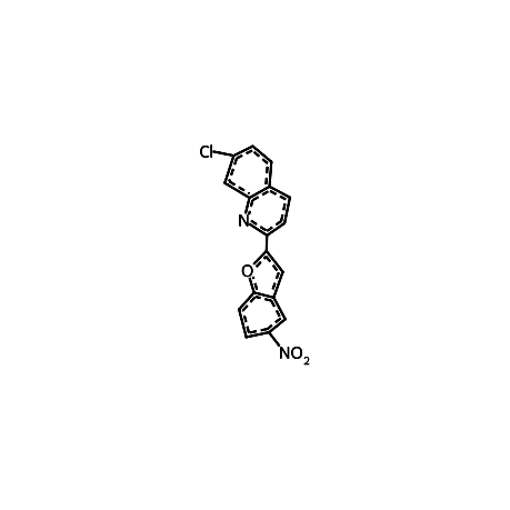 O=[N+]([O-])c1ccc2oc(-c3ccc4ccc(Cl)cc4n3)cc2c1